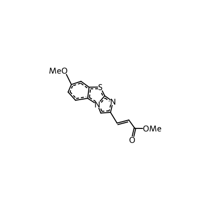 COC(=O)/C=C/c1cn2c(n1)sc1cc(OC)ccc12